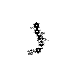 CCCCc1nc(C)n(-c2ncc(OC3CCC(O[Si](C)(C)C(C)(C)C)CC3)cn2)c(=O)c1Cc1ccc(-c2ccccc2C#N)cc1